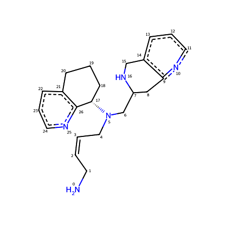 NC/C=C\CN(CC1Cc2ncccc2CN1)[C@H]1CCCc2cccnc21